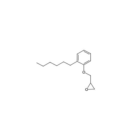 CCCCCCc1ccccc1OCC1CO1